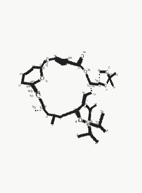 C=C1CC(O[Si](C(C)C)(C(C)C)C(C)C)/C=C/C[C@@H]([C@@H]2COC(C)(C)O2)OC(=O)C#CC[C@@H]2C=CC[C@@H](C[C@@H](C)C1)O2